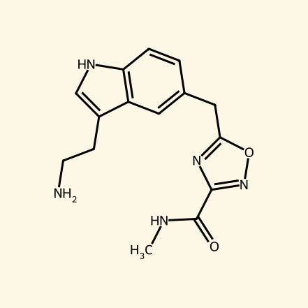 CNC(=O)c1noc(Cc2ccc3[nH]cc(CCN)c3c2)n1